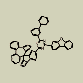 c1ccc(-c2cccc(-c3nc(-c4ccc5c(c4)C4(c6ccccc6-c6ccccc6-c6ccccc64)c4ccccc4-5)nc(-c4ccc5c(c4)oc4ccccc45)n3)c2)cc1